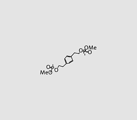 COP(C)(=O)OCCc1ccc(CCOP(C)(=O)OC)cc1